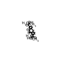 CC(C)(O)C(=O)c1ccc2c(c1)C(=O)C(=O)c1cc(C(=O)C(C)(C)O)ccc1C2